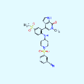 Cn1cc(-c2cc(S(C)(=O)=O)ccc2NC2CCN(S(=O)(=O)c3cccc(C#N)c3)CC2)c2cc[nH]c2c1=O